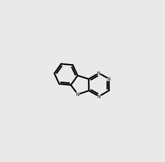 c1ccc2c(c1)[N]c1ncnnc1-2